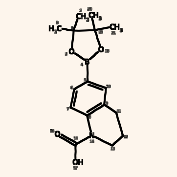 CC1(C)OB(c2ccc3c(c2)CCCN3C(=O)O)OC1(C)C